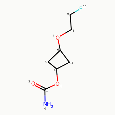 NC(=O)OC1CC(OCCF)C1